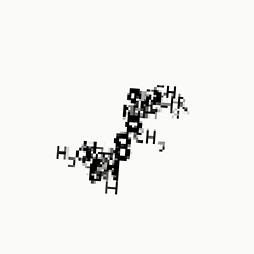 Cc1cc2[nH]c([C@@H]3CCCN3C(=O)OC(C)(C)C)nc2cc1-c1ccc2cc(-c3c[nH]c([C@@H]4CCCN4C(=O)OC(C)(C)C)n3)ccc2c1